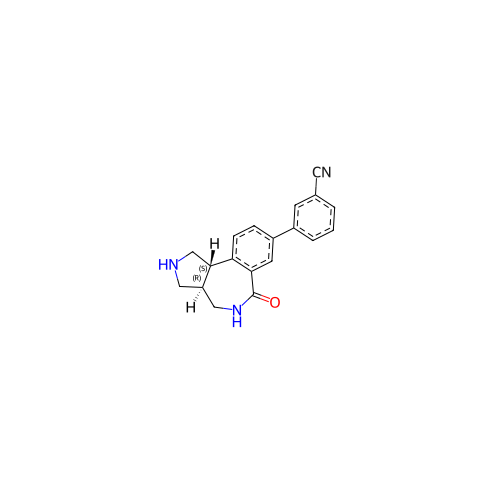 N#Cc1cccc(-c2ccc3c(c2)C(=O)NC[C@H]2CNC[C@H]32)c1